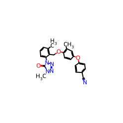 Cc1cc(Oc2ccc(C#N)cc2)ccc1OCc1c(C)cccc1-n1nnn(C)c1=O